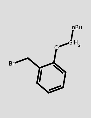 CCCC[SiH2]Oc1ccccc1CBr